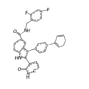 O=C(NCc1ccc(F)cc1F)c1ccc2[nH]c(-c3ccc[nH]c3=O)c(-c3ccc(C4=CCCC=C4)cc3)c2c1